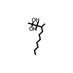 CCCCCCCC(C)C(C)(C)C(C)(O)O